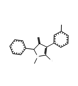 CN1C(N)=C(c2cccc(F)c2)C(=O)C1c1ccccc1